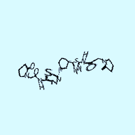 C=C1CCCN1CC(=O)Nc1nnc([C@@H]2CCC[C@@H](c3nnc(NC(=O)CN4CCCC4=O)s3)C2)s1